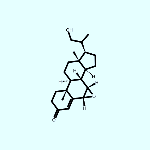 CC(CO)[C@H]1CC[C@H]2[C@@H]3[C@@H]4O[C@@H]4C4=CC(=O)CC[C@]4(C)[C@H]3CC[C@]12C